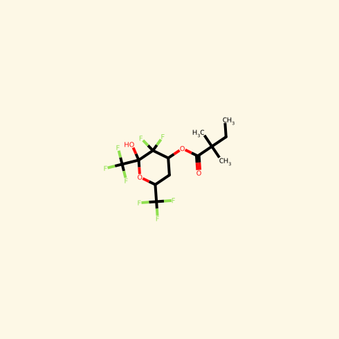 CCC(C)(C)C(=O)OC1CC(C(F)(F)F)OC(O)(C(F)(F)F)C1(F)F